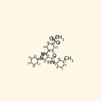 Cc1cccc(NC(=O)c2cn(-c3ccccc3)nc2-c2ccc(S(C)(=O)=O)cc2)c1